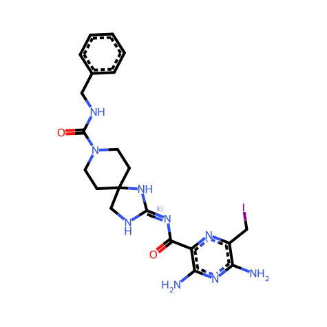 Nc1nc(N)c(C(=O)/N=C2\NCC3(CCN(C(=O)NCc4ccccc4)CC3)N2)nc1CI